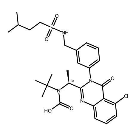 CC(C)CCS(=O)(=O)NCc1cccc(-n2c([C@H](C)N(C(=O)O)C(C)(C)C)nc3cccc(Cl)c3c2=O)c1